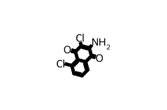 NC1=C(Cl)C(=O)c2c(Cl)cccc2C1=O